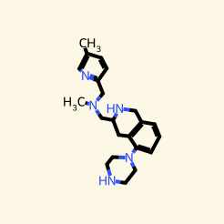 Cc1ccc(CN(C)CC2Cc3c(cccc3N3CCNCC3)CN2)nc1